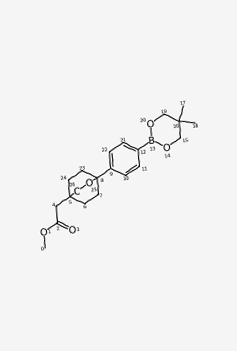 COC(=O)CC12CCC(c3ccc(B4OCC(C)(C)CO4)cc3)(CC1)OC2